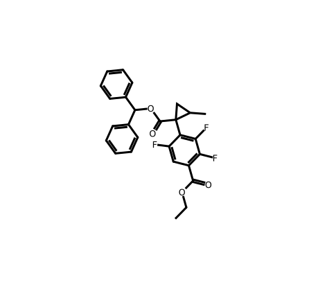 CCOC(=O)c1cc(F)c(C2(C(=O)OC(c3ccccc3)c3ccccc3)CC2C)c(F)c1F